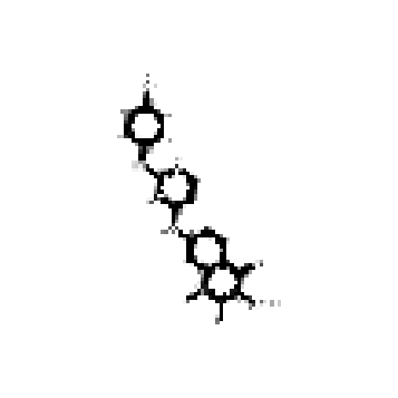 Cc1c(C(=O)O)c(=O)c2ccc(Oc3ccnc(Nc4ccc(C#N)cc4)n3)cc2n1C